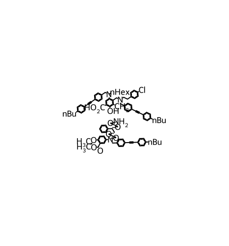 CCCCCCN(Cc1ccc(C#Cc2ccc(CCCC)cc2)cc1)c1cc(C(=O)O)c(O)c(C)c1CN(CCc1ccc(Cl)cc1)Cc1ccc(C#Cc2ccc(CCCC)cc2)cc1.CCCCc1ccc(C#Cc2ccc(CN(c3ccc4c(c3)C(=O)OC(C)(C)O4)S(=O)(=O)CC(c3ccccc3)S(N)(=O)=O)cc2)cc1